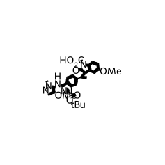 COc1ccc2c(c1)[C@]1(C[C@H]1c1ccc3c(Nc4c(OC)cnn4C)nn(C(=O)OC(C)(C)C)c3c1)C(=O)N2C(=O)O